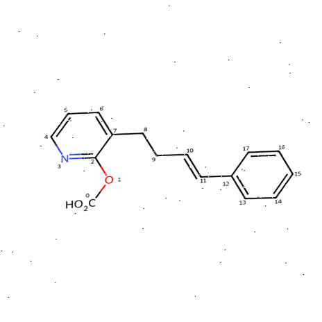 O=C(O)Oc1ncccc1CC/C=C/c1ccccc1